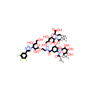 CCC[C@H](OC1C(NC(C)=O)[C@H](O[C@@H]2CC(C(=O)NCCO[C@H]3OC(CO)[C@@H](O)C(n4cc(-c5cc(F)c(F)c(F)c5)nn4)C3O)CC(NC(C)=O)C2O[C@@H]2OC(C)[C@@H](O)C(O)C2O)OC(CO)[C@@H]1O)C(=O)O